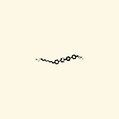 CCCCCCCCCC1CCC(c2cnc(-c3ccc(C4CCC(CC)CC4)cc3)nc2)CC1